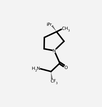 CC(C)[C@@]1(C)CCN(C(=O)[C@@H](N)C(F)(F)F)C1